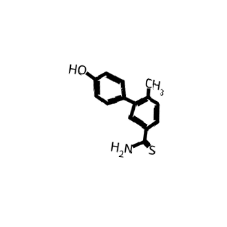 Cc1ccc(C(N)=S)cc1-c1ccc(O)cc1